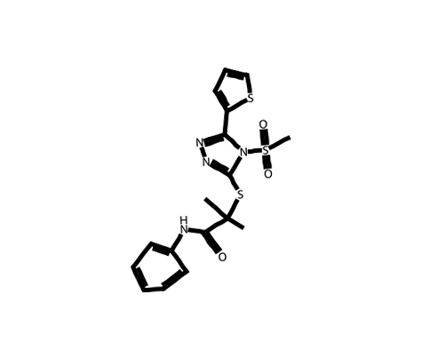 CC(C)(Sc1nnc(-c2cccs2)n1S(C)(=O)=O)C(=O)Nc1ccccc1